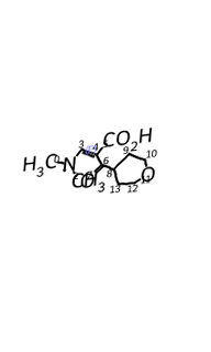 CN(C)/C=C(/C(=O)O)C(=O)C1CCOCC1